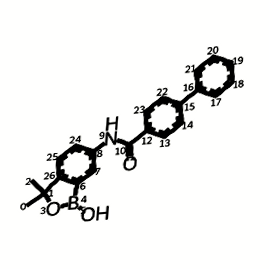 CC1(C)OB(O)c2cc(NC(=O)c3ccc(-c4ccccc4)cc3)ccc21